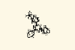 CC(C)(C)Oc1nccc(-c2nc(N3CCOCC3)nc(N3CCOCC3)n2)n1